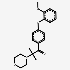 COc1ccccc1Sc1ccc(C(=O)C(C)(C)N2CCOCC2)cc1